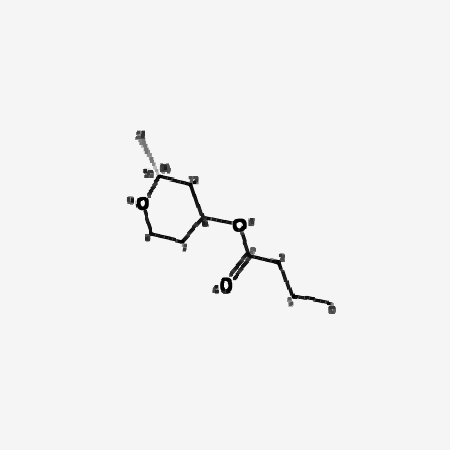 CCCC(=O)OC1CCO[C@H](C)C1